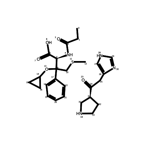 CCC(=O)N[C@H](C(=O)O)C(CSC)(OC1CC1)c1ccccc1.O=C(Cc1c[nH]cn1)[C@H]1CCNC1